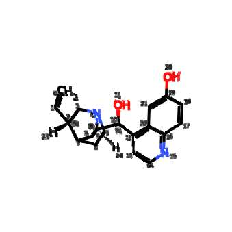 C=C[C@@H]1CN2CCC1C[C@@H]2[C@@H](O)c1ccnc2ccc(O)cc12